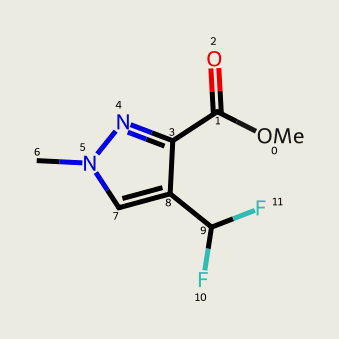 COC(=O)c1nn(C)cc1C(F)F